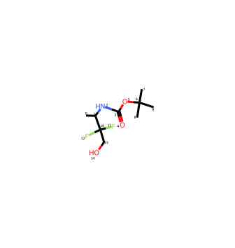 CC(NC(=O)OC(C)(C)C)C(F)(F)CO